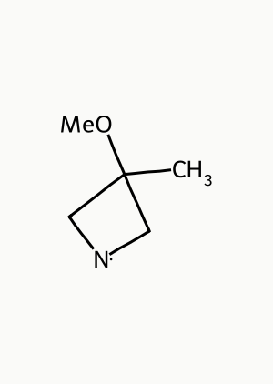 COC1(C)C[N]C1